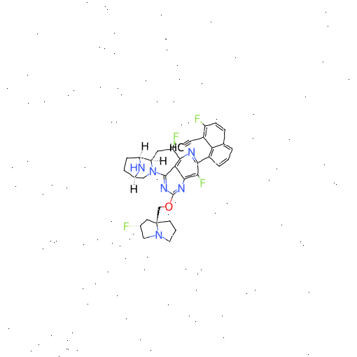 C#Cc1c(F)ccc2cccc(-c3nc4c5c(nc(OC[C@@]67CCCN6C[C@H](F)C7)nc5c3F)N3C[C@H]5CC[C@H](N5)[C@H]3C[C@H]4F)c12